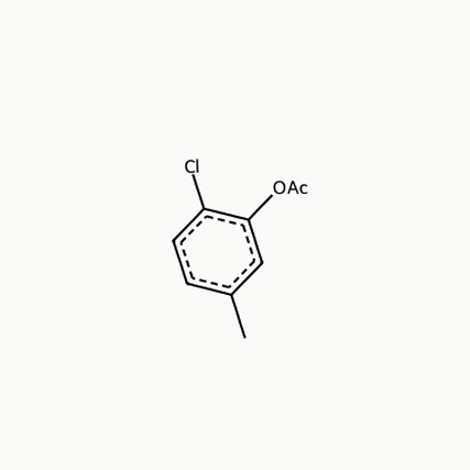 CC(=O)Oc1cc(C)ccc1Cl